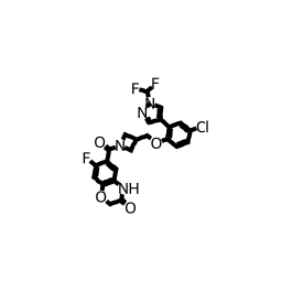 O=C1COc2cc(F)c(C(=O)N3CC(COc4ccc(Cl)cc4-c4cnn(C(F)F)c4)C3)cc2N1